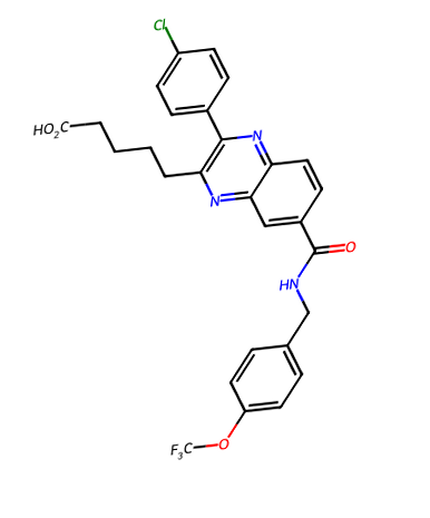 O=C(O)CCCCc1nc2cc(C(=O)NCc3ccc(OC(F)(F)F)cc3)ccc2nc1-c1ccc(Cl)cc1